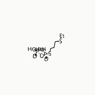 CCSCCCSP(=O)(O)OP(=O)(O)O